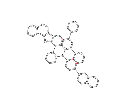 c1ccc(-c2ccc(N(c3ccc(-c4ccc5ccccc5c4)cc3)c3ccccc3-c3cccc4c3oc3c5ccccc5ccc43)c(-c3ccccc3)c2)cc1